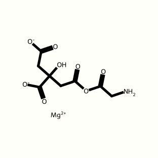 NCC(=O)OC(=O)CC(O)(CC(=O)[O-])C(=O)[O-].[Mg+2]